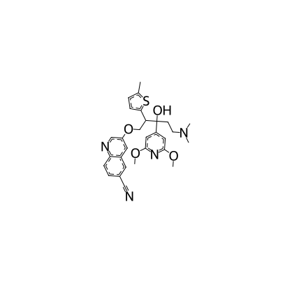 COc1cc(C(O)(CCN(C)C)C(COc2cnc3ccc(C#N)cc3c2)c2ccc(C)s2)cc(OC)n1